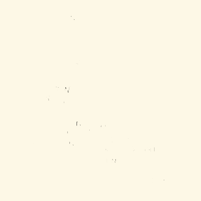 CSCC[C@H](NC(=O)CC1C(=O)N(Cc2cncn2Cc2ccc(C#N)cc2)C(=O)N1Cc1cccc2ccccc12)C(=O)O